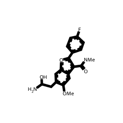 CNC(=O)c1c(-c2ccc(F)cc2)oc2cc(CC(N)O)c(OC)cc12